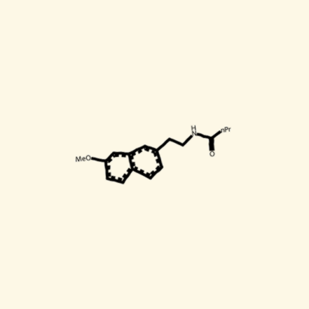 CCCC(=O)NCCc1ccc2ccc(OC)cc2c1